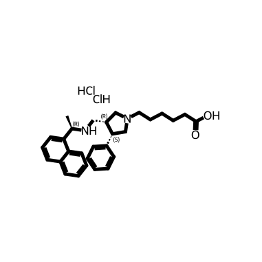 C[C@@H](NC[C@@H]1CN(CCCCCC(=O)O)C[C@@H]1c1ccccc1)c1cccc2ccccc12.Cl.Cl